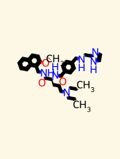 CCCN(CCC)CCC[C@H](NC(=O)c1ccc(CNCc2ncc[nH]2)cc1)C(=O)NCc1c(OC)ccc2ccccc12